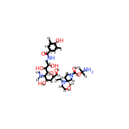 Cc1cc(C(=O)NC[C@@H](O)[C@@H](O)[C@@H]2O[C@](C=O)(CCN3CCOC[C@@]34CCN(C(=O)OC(C)(C)N)C4)C[C@H](O)C2N(C)C)cc(C)c1O